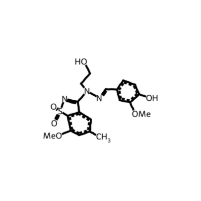 COc1cc(C=NN(CCO)C2=NS(=O)(=O)c3c(OC)cc(C)cc32)ccc1O